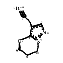 C#Cc1cnn2c1OCCC2